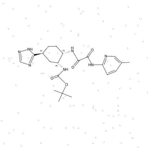 Cc1ccc(NC(=O)C(=O)N[C@H]2CC[C@H](c3ncn[nH]3)C[C@H]2NC(=O)OC(C)(C)C)nc1